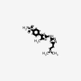 Cc1nc(Nc2nnc(CCN(C)C)s2)sc1-c1ccc(S(N)(=O)=O)cc1